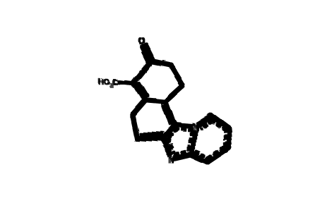 O=C(O)C1=C2CC=c3nc4ccccn4c3=C2CCC1=O